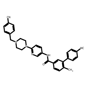 [C-]#[N+]c1ccc(-c2cc(C(=O)Nc3ccc(N4CCN(Cc5ccc(C#N)cc5)CC4)nc3)ccc2C)cc1